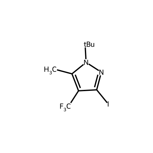 Cc1c(C(F)(F)F)c(I)nn1C(C)(C)C